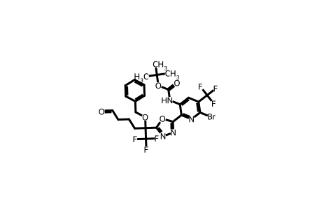 CC(C)(C)OC(=O)Nc1cc(C(F)(F)F)c(Br)nc1-c1nnc(C(CCCC=O)(OCc2ccccc2)C(F)(F)F)o1